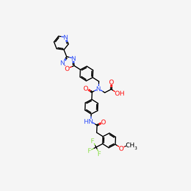 COc1ccc(CC(=O)Nc2ccc(C(=O)N(CC(=O)O)Cc3ccc(-c4nc(-c5cccnc5)no4)cc3)cc2)c(C(F)(F)F)c1